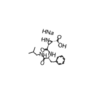 CC(C)CNC(=O)[C@H](Cc1ccccc1)NC(=O)[C@H]1N[C@@H]1C(=O)O.[NaH]